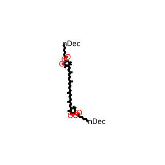 CCCCCCCCCCCCCCCC(=O)OC1CC(C)(C)C(/C=C/C(C)=C/C=C/C(C)=C/C=C/C=C(C)/C=C/C=C(C)/C=C/C2=C(C)C(=O)C(OC(=O)CCCCCCCCCCCCCCC)CC2(C)C)=C(C)C1=O